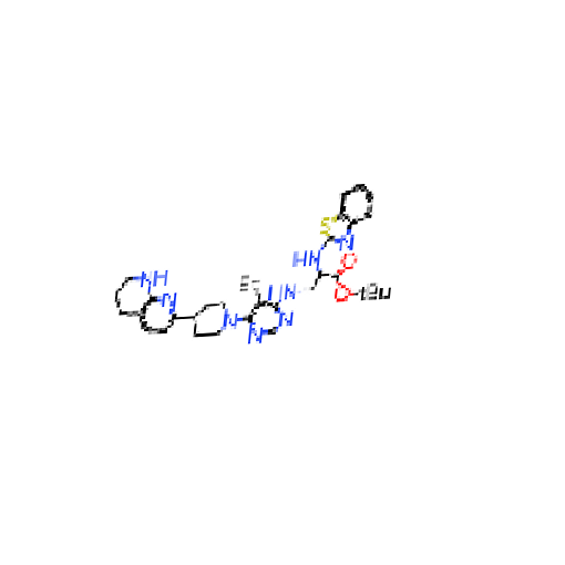 CCc1c(NCC(Nc2nc3ccccc3s2)C(=O)OC(C)(C)C)ncnc1N1CCC(c2ccc3c(n2)NCCC3)CC1